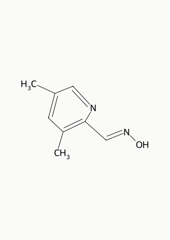 Cc1cnc(C=NO)c(C)c1